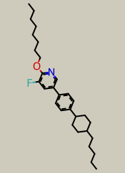 CCCCCCCCOc1ncc(-c2ccc(C3CCC(CCCCC)CC3)cc2)cc1F